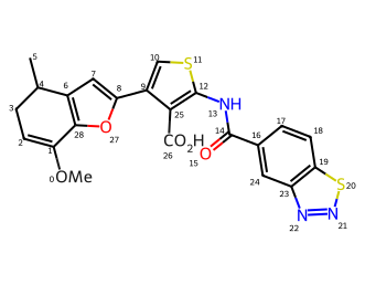 COC1=CCC(C)c2cc(-c3csc(NC(=O)c4ccc5snnc5c4)c3C(=O)O)oc21